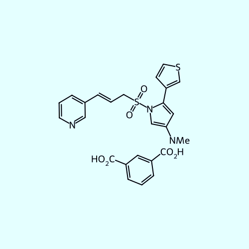 CNc1cc(-c2ccsc2)n(S(=O)(=O)CC=Cc2cccnc2)c1.O=C(O)c1cccc(C(=O)O)c1